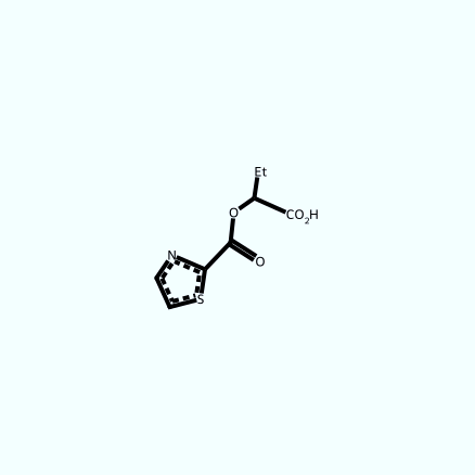 CCC(OC(=O)c1nccs1)C(=O)O